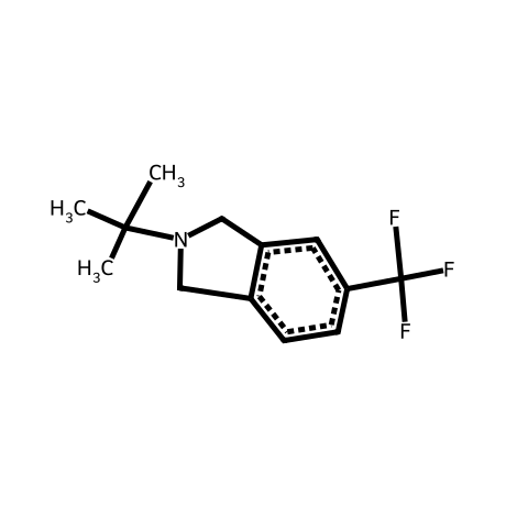 CC(C)(C)N1Cc2ccc(C(F)(F)F)cc2C1